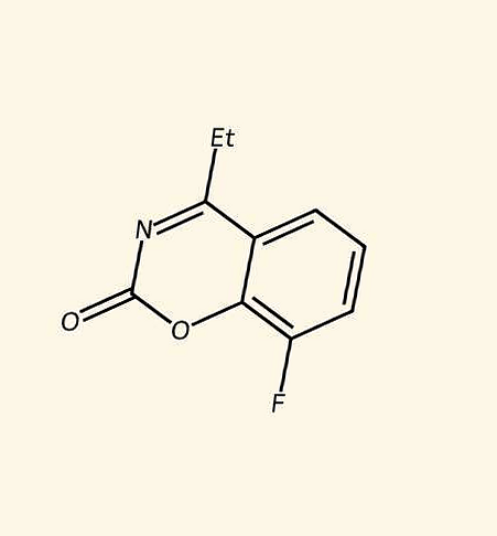 CCc1nc(=O)oc2c(F)cccc12